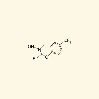 CCC(Oc1ccc(C(F)(F)F)cc1)N(C)N=O